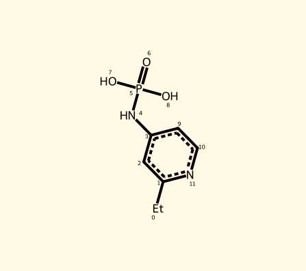 CCc1cc(NP(=O)(O)O)ccn1